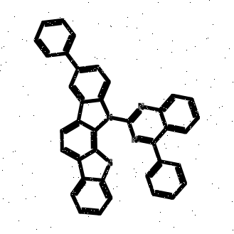 c1ccc(-c2ccc3c(c2)c2ccc4c5ccccc5sc4c2n3-c2nc(-c3ccccc3)c3ccccc3n2)cc1